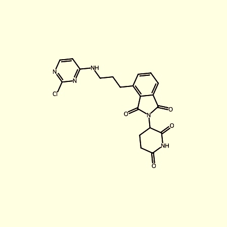 O=C1CCC(N2C(=O)c3cccc(CCCNc4ccnc(Cl)n4)c3C2=O)C(=O)N1